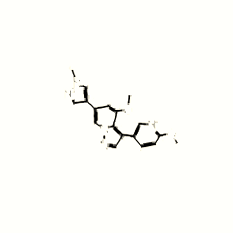 COc1ccc(-c2cnn3cc(-c4cnn(C)c4)cc(OC)c23)cn1